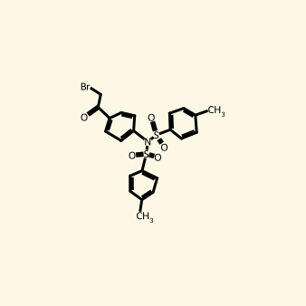 Cc1ccc(S(=O)(=O)N(c2ccc(C(=O)CBr)cc2)S(=O)(=O)c2ccc(C)cc2)cc1